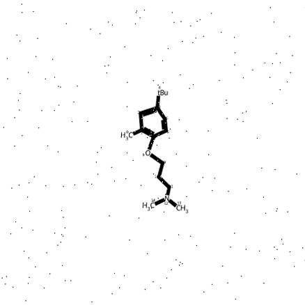 Cc1cc(C(C)(C)C)ccc1OCCCN(C)C